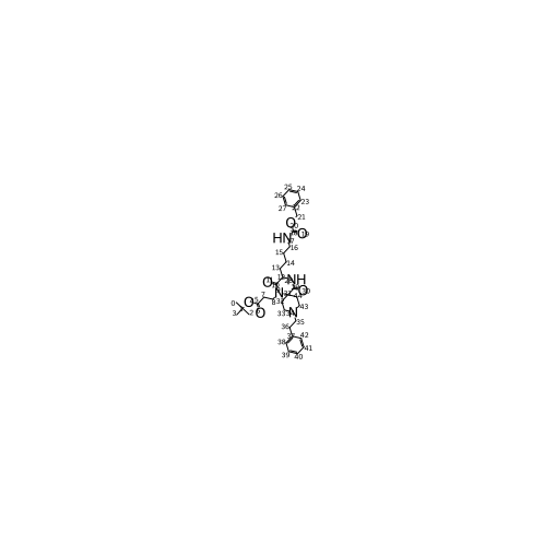 CC(C)(C)OC(=O)CCN1C(=O)C(CCCCNC(=O)OCc2ccccc2)NC(=O)C12CCN(CCc1ccccc1)CC2